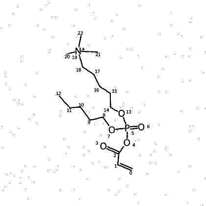 C=CC(=O)OP(=O)(OCCCCC)OCCCCC[N+](C)(C)C